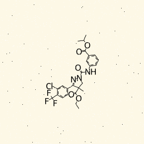 CCOC(=O)C1(C)CN(C(=O)Nc2cccc(C(=O)OC(C)C)c2)N=C1c1ccc(C(F)(F)F)c(Cl)c1